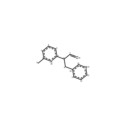 Cc1cccc(C(C=O)Cc2cccnc2)n1